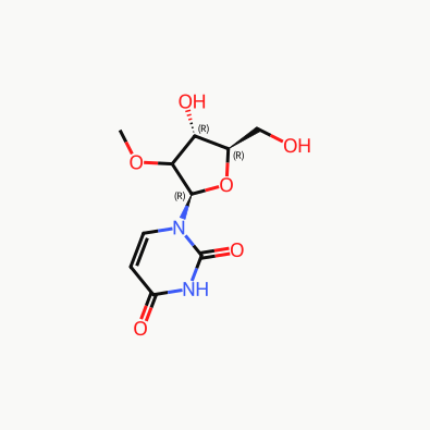 COC1[C@H](n2ccc(=O)[nH]c2=O)O[C@H](CO)[C@H]1O